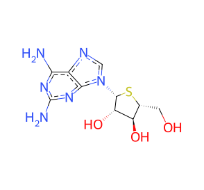 Nc1nc(N)c2ncn([C@@H]3S[C@H](CO)[C@@H](O)[C@@H]3O)c2n1